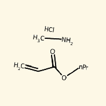 C=CC(=O)OCCC.CN.Cl